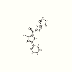 Cc1nc(-c2cccnc2)sc1C(=O)NCC1(C)CCCO1